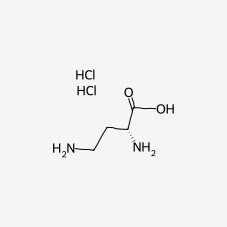 Cl.Cl.NCC[C@@H](N)C(=O)O